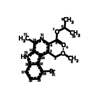 COCc1c(C(=O)OC(C)C)nc(C)c2[nH]c3cccc(Br)c3c12